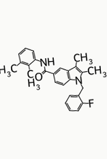 Cc1cccc(NC(=O)c2ccc3c(c2)c(C)c(C)n3Cc2ccccc2F)c1C